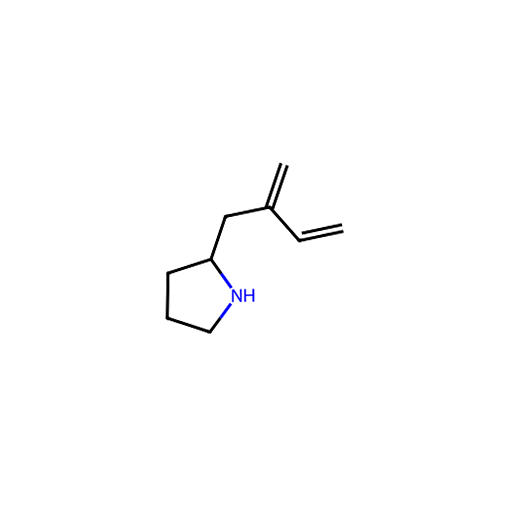 C=CC(=C)CC1CCCN1